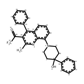 Cc1nc2c(N3CCC(O)(c4ccccc4)CC3)cccc2c(-c2ccccc2)c1C(=O)C(F)(F)F